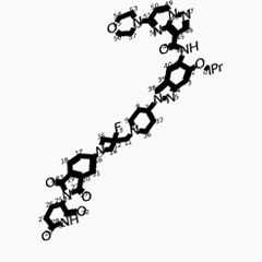 CC(C)Oc1cc2nn(C3CCN(CC4(F)CN(c5ccc6c(c5)C(=O)N(C5CCC(=O)NC5=O)C6=O)C4)CC3)cc2cc1NC(=O)c1cnn2ccc(N3CCOCC3)nc12